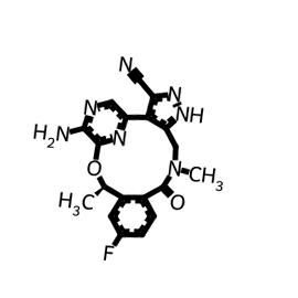 C[C@H]1Oc2nc(cnc2N)-c2c(C#N)n[nH]c2CN(C)C(=O)c2ccc(F)cc21